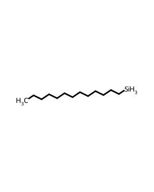 CCCCCCCCCCCCC[SiH3]